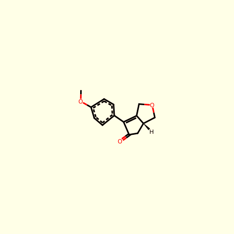 COc1ccc(C2=C3COC[C@@H]3CC2=O)cc1